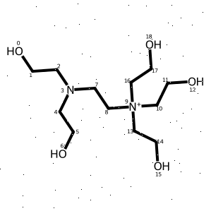 OCCN(CCO)CC[N+](CCO)(CCO)CCO